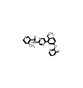 CCc1ccc(Oc2ncccc2F)cc1-c1cnc(NC(=O)c2cnccc2C)cn1